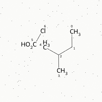 CCC(C)C.O=C(O)Cl